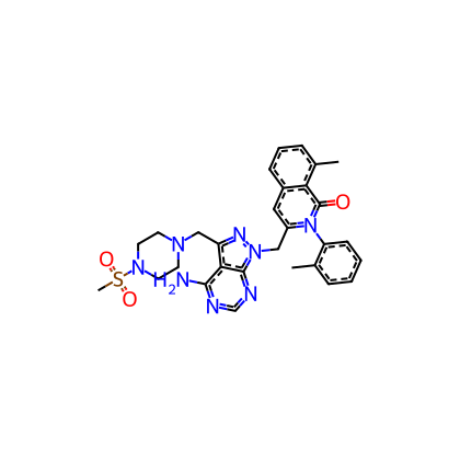 Cc1ccccc1-n1c(Cn2nc(CN3CCN(S(C)(=O)=O)CC3)c3c(N)ncnc32)cc2cccc(C)c2c1=O